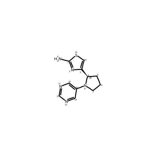 Nc1nc([C@H]2CCCN2c2cncnc2)cs1